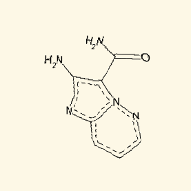 NC(=O)c1c(N)nc2cccnn12